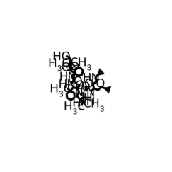 CC1([C@H](NC(=O)NC2(CS(=O)(=O)C(C)(C)CO)CCCCC2)C(=O)N2C[C@H]3[C@@H]([C@H]2C(=O)NC(CCC2CC2)C(=O)C(=O)NC2CC2)C3(C)C)CCCCC1